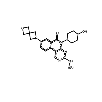 CCCCNc1ncc2c3ccc(N4CC5(COC5)C4)cc3c(=O)n(C3CCC(O)CC3)c2n1